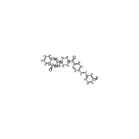 O=C(c1ccc(/C=C/c2cccc(F)c2)cc1)N1CCN(c2nc3ccccc3c(=O)[nH]2)CC1